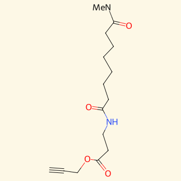 C#CCOC(=O)CCNC(=O)CCCCCCC(=O)NC